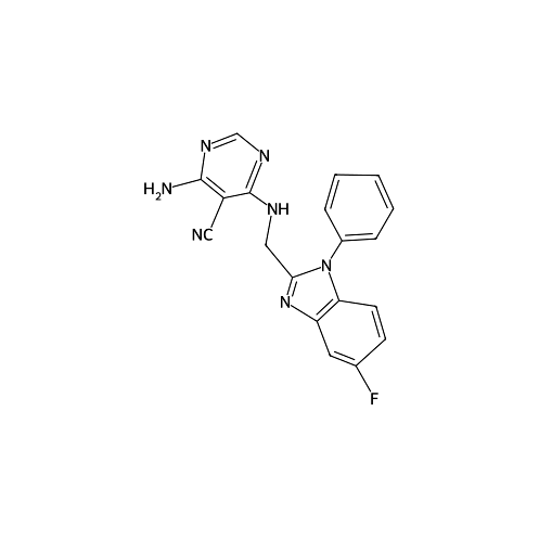 N#Cc1c(N)ncnc1NCc1nc2cc(F)ccc2n1-c1ccccc1